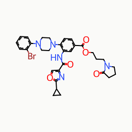 O=C(OCCCN1CCCC1=O)c1ccc(N2CCN(c3ccccc3Br)CC2)c(NC(=O)c2coc(C3CC3)n2)c1